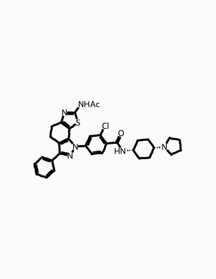 CC(=O)Nc1nc2c(s1)-c1c(c(-c3ccccc3)nn1-c1ccc(C(=O)N[C@H]3CC[C@@H](N4CCCC4)CC3)c(Cl)c1)CC2